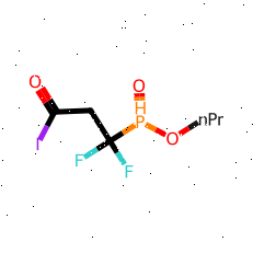 CCCO[PH](=O)C(F)(F)CC(=O)I